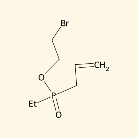 C=CCP(=O)(CC)OCCBr